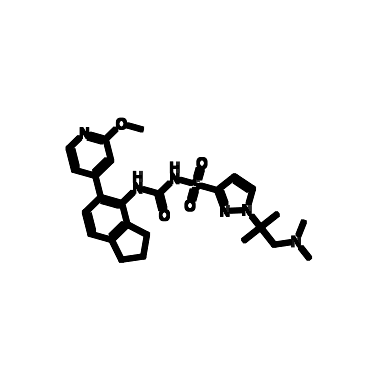 COc1cc(-c2ccc3c(c2NC(=O)NS(=O)(=O)c2ccn(C(C)(C)CN(C)C)n2)CCC3)ccn1